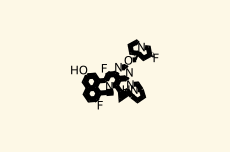 C#Cc1c(F)ccc2cc(O)cc(-c3nc(C4CC4)c4c(N5CC6CCC(C5)N6)nc(OC[C@@]56CCCN5C[C@H](F)C6)nc4c3F)c12